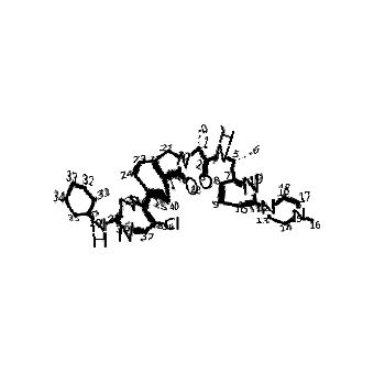 C[C@H](C(=O)N[C@H](C)c1cccc(N2CCN(C)CC2)n1)N1Cc2ccc(-c3nc(NC4CCCCC4)ncc3Cl)cc2C1=O